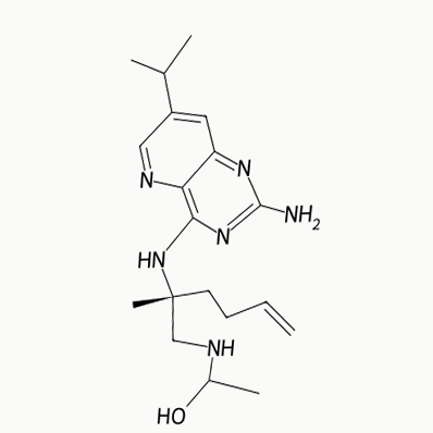 C=CCC[C@](C)(CNC(C)O)Nc1nc(N)nc2cc(C(C)C)cnc12